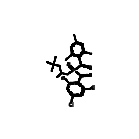 Cc1cc(C)c(C(=O)P(=O)(CC(C)CC(C)(C)C)C(=O)c2c(Cl)cc(Cl)cc2Cl)c(C)c1